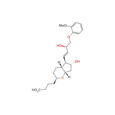 COc1ccccc1OC[C@H](O)/C=C/[C@@H]1[C@H]2CC[C@H](CCCC(=O)O)S[C@H]2C[C@H]1O